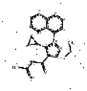 CCO.N=C(N)NC(=O)c1cnn(-c2cccc3ncccc23)c1C1CC1